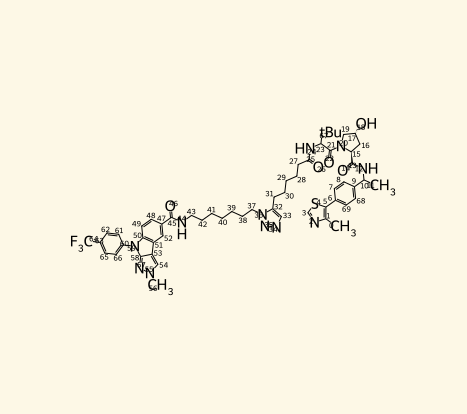 Cc1ncsc1-c1ccc(C(C)NC(=O)[C@@H]2C[C@@H](O)CN2C(=O)C(NC(=O)CCCCCc2cnnn2CCCCCCCNC(=O)c2ccc3c(c2)c2cn(C)nc2n3-c2ccc(C(F)(F)F)cc2)C(C)(C)C)cc1